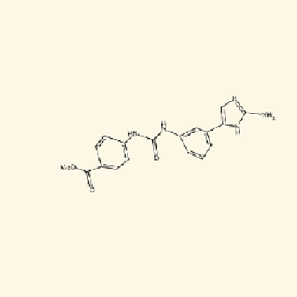 COC(=O)c1ccc(NC(=O)Nc2cccc(-c3cnc(N)[nH]3)c2)cc1